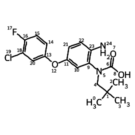 CC(C)(C)CN(C(=O)O)c1cc(Oc2ccc(F)c(Cl)c2)ccc1N